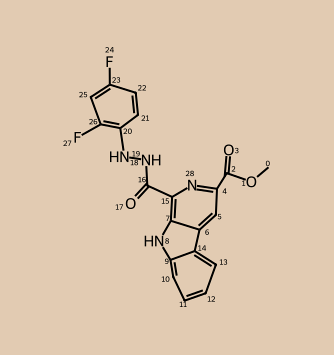 COC(=O)c1cc2c([nH]c3ccccc32)c(C(=O)NNc2ccc(F)cc2F)n1